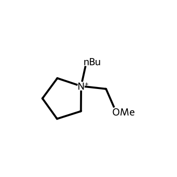 CCCC[N+]1(COC)CCCC1